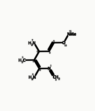 C=N/C(N)=C(/C)C(N)/C=C/ONC